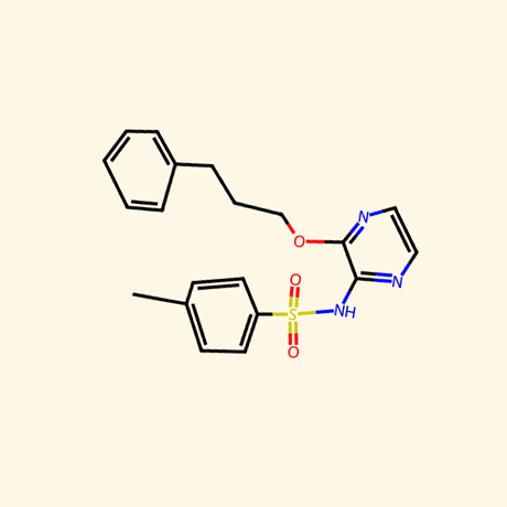 Cc1ccc(S(=O)(=O)Nc2nccnc2OCCCc2ccccc2)cc1